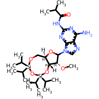 CO[C@H]1C(n2cnc3c(N)nc(NC(=O)C(C)C)nc32)O[C@@H]2CO[Si](C(C)C)(C(C)C)O[Si](C(C)C)(C(C)C)O[C@H]21